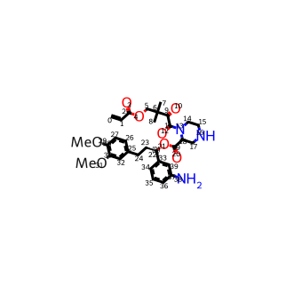 C=CC(=O)OCC(C)(C)C(=O)C(=O)N1CCNCC1C(=O)O[C@H](CCc1ccc(OC)c(OC)c1)c1cccc(N)c1